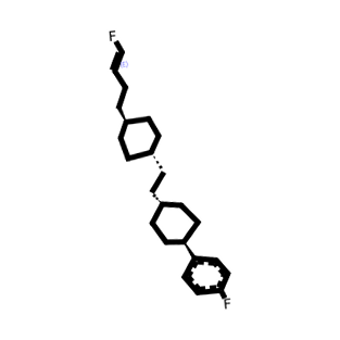 F/C=C/CC[C@H]1CC[C@H](CC[C@H]2CC[C@H](c3ccc(F)cc3)CC2)CC1